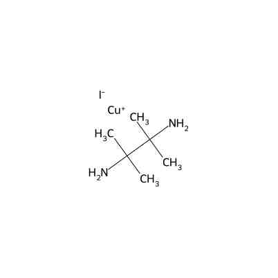 CC(C)(N)C(C)(C)N.[Cu+].[I-]